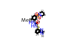 COc1ccc(S(=O)(=O)N2CCCCC2)cc1NC(=O)NSc1cccc2c1ncn2C